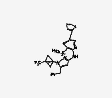 CC(C)Cc1cc(Nc2ncc(-c3cccs3)cc2C(=O)O)nn1C12CC(C(F)(F)F)(C1)C2